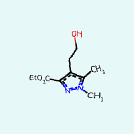 CCOC(=O)c1nn(C)c(C)c1CCO